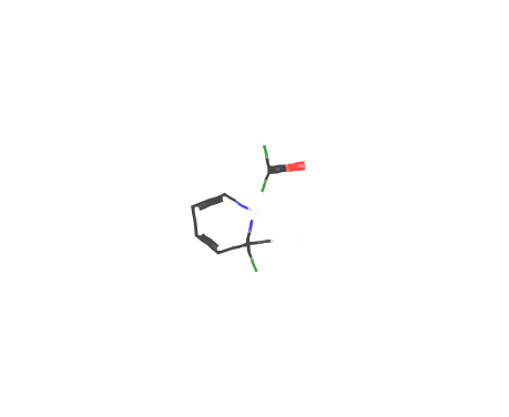 O=C(Cl)Cl.O=C(O)C1(Cl)C=CC=CN1